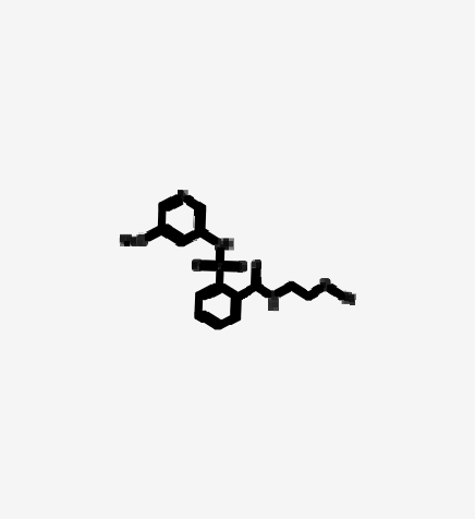 COc1cncc(NS(=O)(=O)c2ccccc2C(=O)NCCOC(C)C)c1